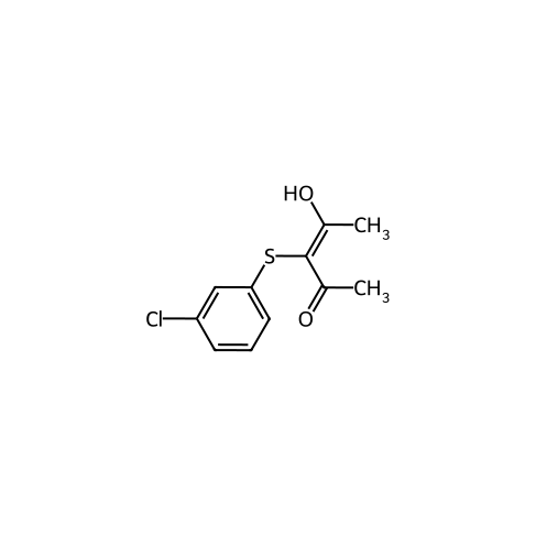 CC(=O)C(Sc1cccc(Cl)c1)=C(C)O